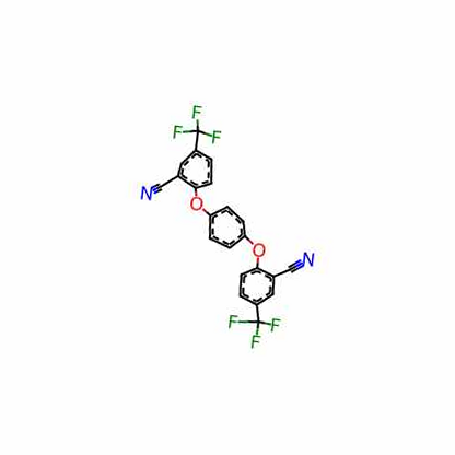 N#Cc1cc(C(F)(F)F)ccc1Oc1ccc(Oc2ccc(C(F)(F)F)cc2C#N)cc1